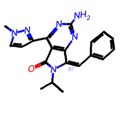 CC(C)N1C(=O)c2c(nc(N)nc2-c2ccn(C)n2)/C1=C\c1ccccc1